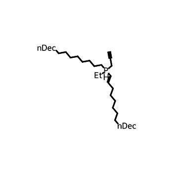 C#CC[PH](C=CCCCCCCCCCCCCCCCC)(CC)CCCCCCCCCCCCCCCCCC